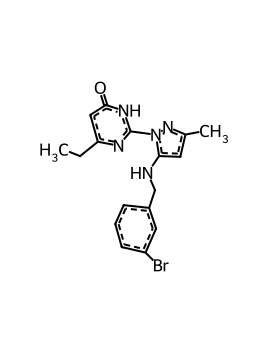 CCc1cc(=O)[nH]c(-n2nc(C)cc2NCc2cccc(Br)c2)n1